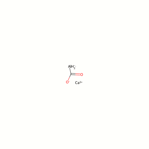 O=[C]([O-])[AlH2-].[Ca+2]